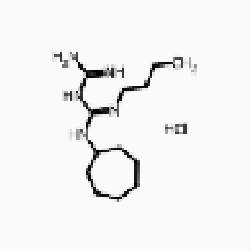 CCCCN=C(NC(=N)N)NC1CCCCCC1.Cl